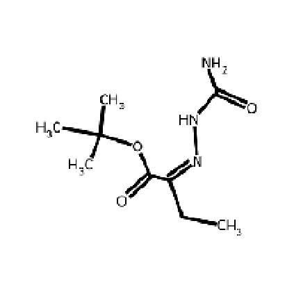 CCC(=NNC(N)=O)C(=O)OC(C)(C)C